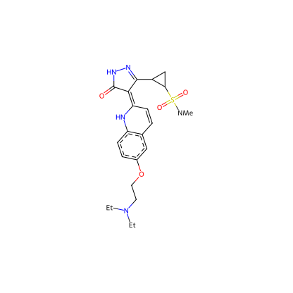 CCN(CC)CCOc1ccc2c(c1)C=C/C(=C1/C(=O)NN=C1C1CC1S(=O)(=O)NC)N2